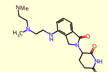 CNCCN(C)CCNc1cccc2c1CN(C1CCC(=O)NC1=O)C2=O